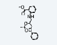 COC(=O)c1ccccc1NCC(COc1ccccc1)OC(C)=O